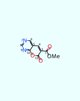 COC(=O)c1cc2cncnc2oc1=O